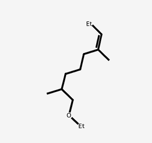 CCC=C(C)CCCC(C)COCC